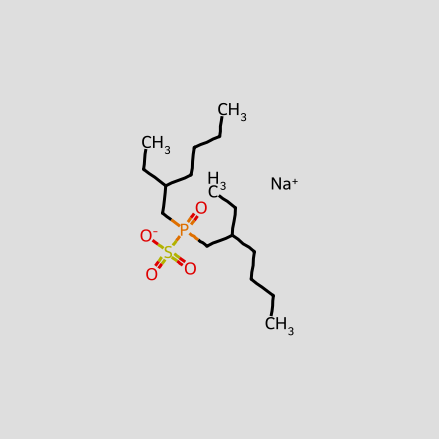 CCCCC(CC)CP(=O)(CC(CC)CCCC)S(=O)(=O)[O-].[Na+]